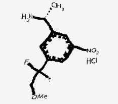 COCC(F)(F)c1cc([C@@H](C)N)cc([N+](=O)[O-])c1.Cl